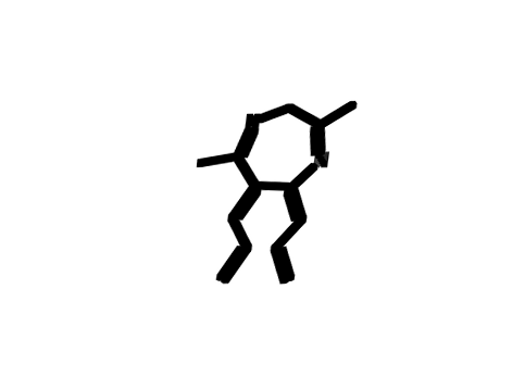 C=C/C=C1/N=C(C)CN=C(C)/C1=C/C=C